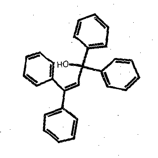 OC(C=C(c1ccccc1)c1ccccc1)(c1ccccc1)c1ccccc1